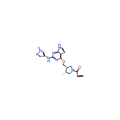 C=CC(=O)N1C[C@H](COc2nc(Nc3cnn(C)c3)nc3[nH]ccc23)[C@@H](C)C1